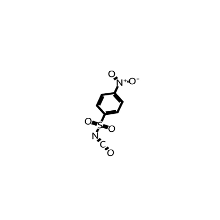 O=C=NS(=O)(=O)c1ccc([N+](=O)[O-])cc1